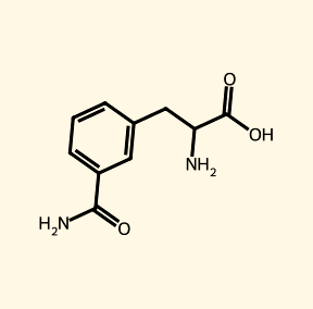 NC(=O)c1cccc(CC(N)C(=O)O)c1